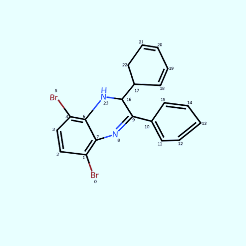 Brc1ccc(Br)c2c1N=C(c1ccccc1)C(C1C=CC=CC1)N2